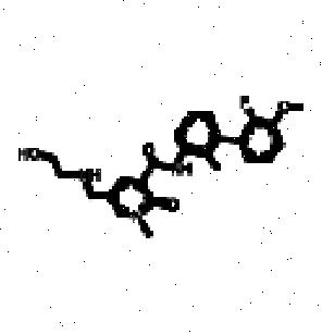 COc1cccc(-c2cccc(NC(=O)c3cc(CNCCO)cn(C)c3=O)c2C)c1F